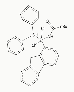 CCCCC(=O)[NH][Zr]([Cl])([Cl])([c]1cccc2c1Cc1ccccc1-2)[SiH](c1ccccc1)c1ccccc1